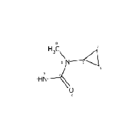 CN(C([NH])=O)C1CC1